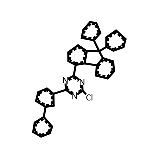 Clc1nc(-c2cccc(-c3ccccc3)c2)nc(-c2cccc3c2-c2ccccc2C3(c2ccccc2)c2ccccc2)n1